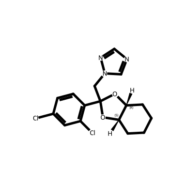 Clc1ccc(C2(Cn3cncn3)O[C@H]3CCCC[C@H]3O2)c(Cl)c1